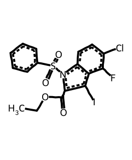 CCOC(=O)c1c(I)c2c(F)c(Cl)ccc2n1S(=O)(=O)c1ccccc1